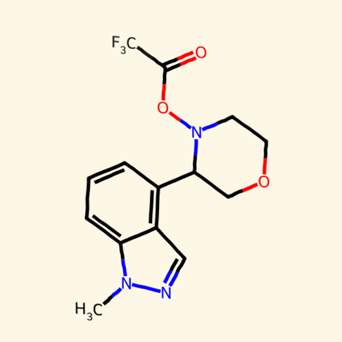 Cn1ncc2c(C3COCCN3OC(=O)C(F)(F)F)cccc21